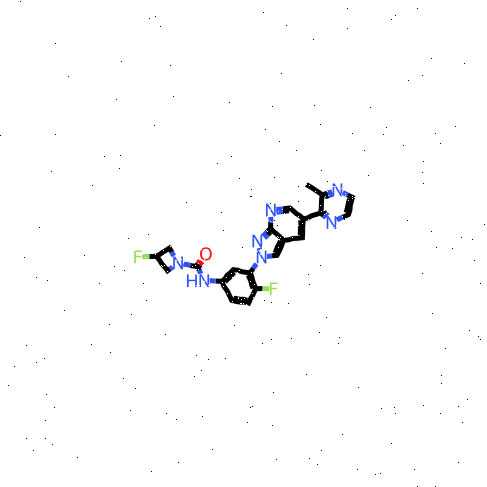 Cc1nccnc1-c1cnc2nn(-c3cc(NC(=O)N4CC(F)C4)ccc3F)cc2c1